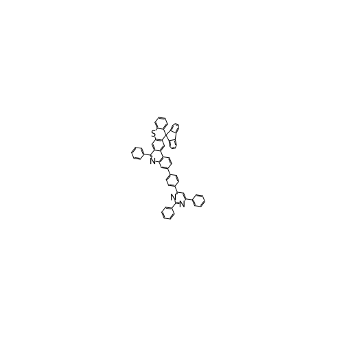 c1ccc(-c2cc(-c3ccc(-c4ccc5c(c4)nc(-c4ccccc4)c4cc6c(cc45)C4(c5ccccc5S6)c5ccccc5-c5ccccc54)cc3)nc(-c3ccccc3)n2)cc1